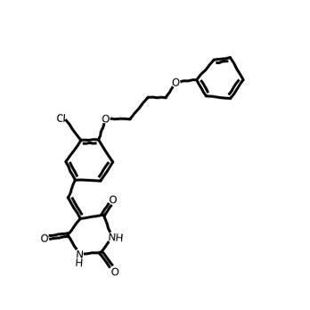 O=C1NC(=O)C(=Cc2ccc(OCCCOc3ccccc3)c(Cl)c2)C(=O)N1